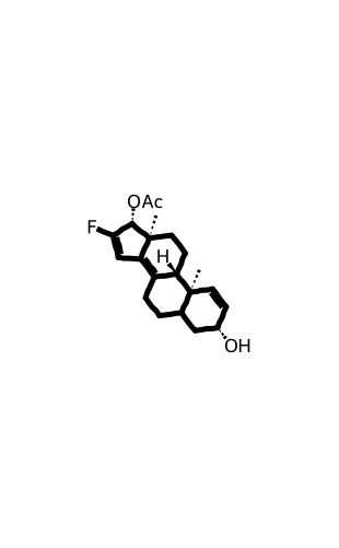 CC(=O)O[C@H]1C(F)=CC2=C3CCC4C[C@@H](O)C=C[C@]4(C)[C@H]3CC[C@@]21C